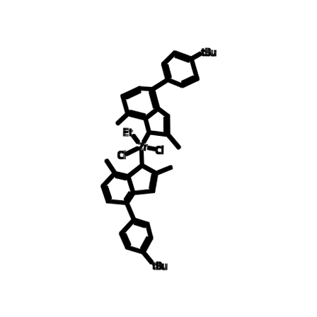 C[CH2][Zr]([Cl])([Cl])([CH]1C(C)=Cc2c(-c3ccc(C(C)(C)C)cc3)ccc(C)c21)[CH]1C(C)=Cc2c(-c3ccc(C(C)(C)C)cc3)ccc(C)c21